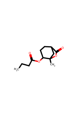 CCCC(=O)OC1CCC2CC1(C)OC2=O